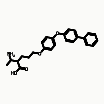 CC(N)C(CCCOc1ccc(Oc2ccc(-c3ccccc3)cc2)cc1)C(=O)O